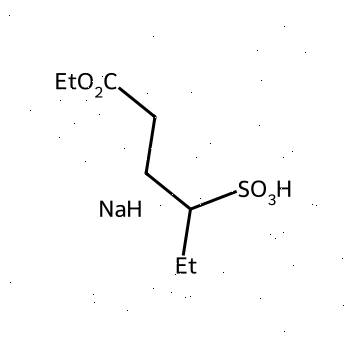 CCOC(=O)CCC(CC)S(=O)(=O)O.[NaH]